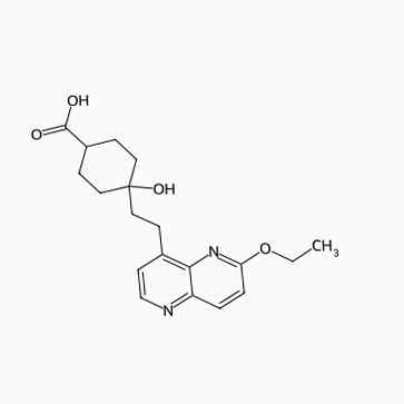 CCOc1ccc2nccc(CCC3(O)CCC(C(=O)O)CC3)c2n1